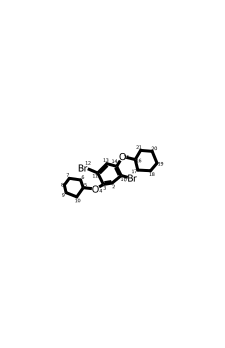 Brc1cc(OC2CCCCC2)c(Br)cc1OC1CCCCC1